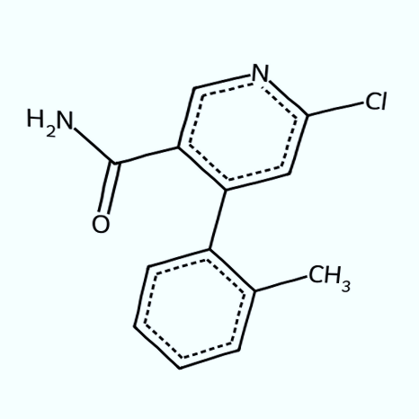 Cc1ccccc1-c1cc(Cl)ncc1C(N)=O